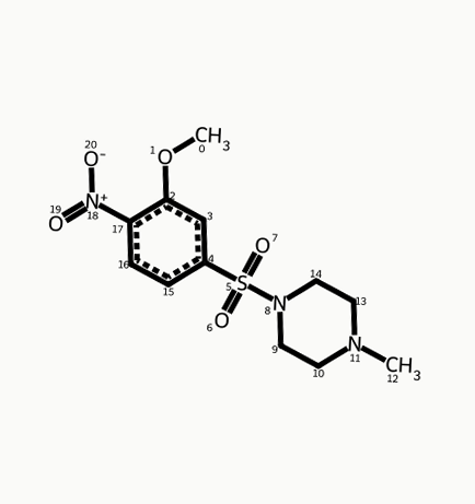 COc1cc(S(=O)(=O)N2CCN(C)CC2)ccc1[N+](=O)[O-]